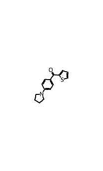 O=C(c1ccc(N2CCCC2)cc1)c1cccs1